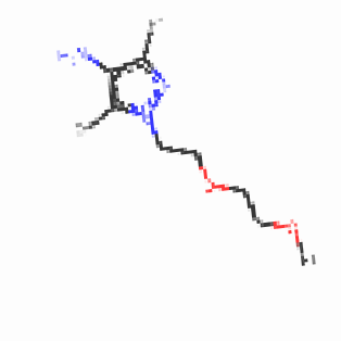 CCOCCOCCn1nc(CC)c(N)c1CC